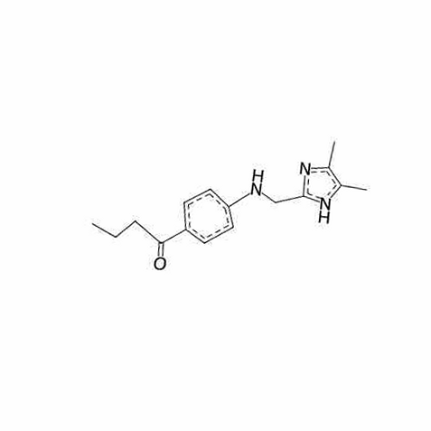 CCCC(=O)c1ccc(NCc2nc(C)c(C)[nH]2)cc1